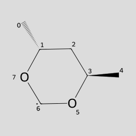 C[C@@H]1C[C@@H](C)O[CH]O1